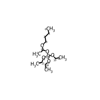 CCCCOC(C)O[Si](OCC)(OCC)OCC